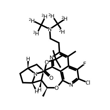 [2H]C([2H])([2H])N(CCc1nc2c3c(nc(Cl)c(F)c3c1C)O[C@@H](C)[C@@H]1[C@@H]3CC[C@H](CN21)N3C(=O)OC(C)(C)C)C([2H])([2H])[2H]